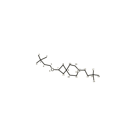 CC(C)(C)CCOC1CC2(CCN(CCC(C)(C)C)CC2)C1